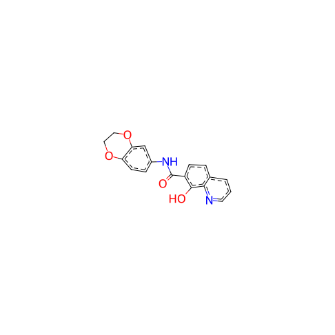 O=C(Nc1ccc2c(c1)OCCO2)c1ccc2cccnc2c1O